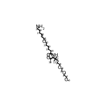 COCCOCCOCCSC(C)(C)[C@H](NC(=O)CCCCCOCCCCCCN)C(=O)I